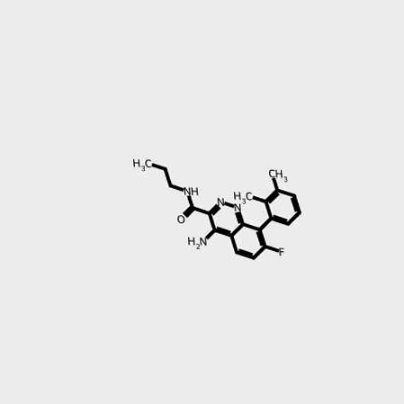 CCCNC(=O)c1nnc2c(-c3cccc(C)c3C)c(F)ccc2c1N